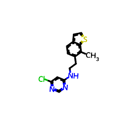 Cc1c(CCNc2cc(Cl)ncn2)ccc2ccsc12